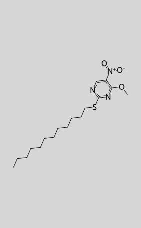 CCCCCCCCCCCCSc1ncc([N+](=O)[O-])c(OC)n1